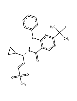 CC(C)(F)c1ncc(C(=O)N[C@H](/C=C/S(C)(=O)=O)C2CC2)c(Oc2ccccc2)n1